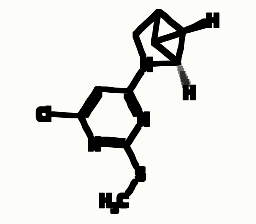 CSc1nc(Cl)cc(N2CC3C4[C@H]3[C@H]42)n1